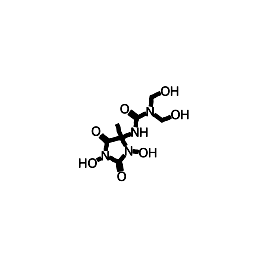 CC1(NC(=O)N(CO)CO)C(=O)N(O)C(=O)N1O